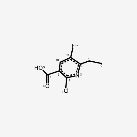 CCc1nc(Cl)c(C(=O)O)cc1F